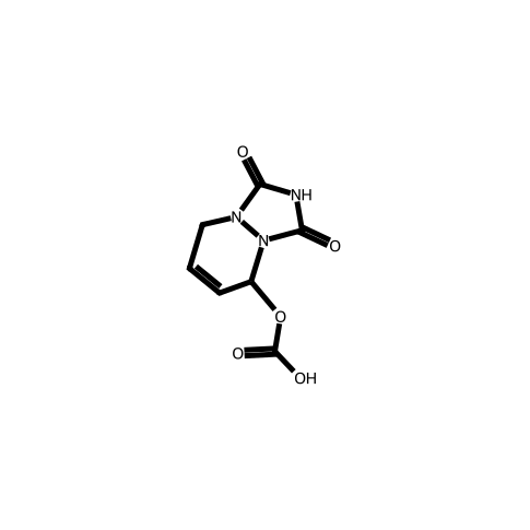 O=C(O)OC1C=CCn2c(=O)[nH]c(=O)n21